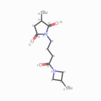 CC(C)(C)C1CN(C(=O)CCCN2C(=O)CC(C(C)(C)C)C2=O)C1